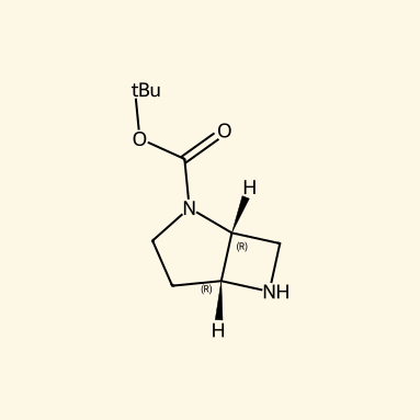 CC(C)(C)OC(=O)N1CC[C@H]2NC[C@H]21